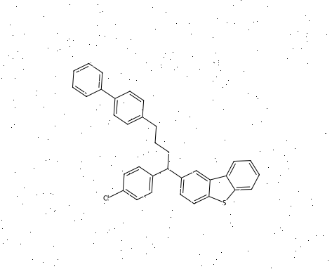 Clc1ccc(C(CCCc2ccc(-c3ccccc3)cc2)c2ccc3sc4ccccc4c3c2)cc1